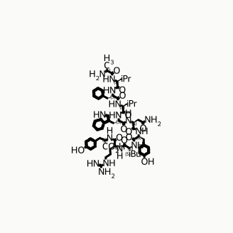 CC[C@H](C)[C@H](NC(=O)[C@H](Cc1ccc(O)cc1)NC(=O)[C@H](CC(N)=O)NC(=O)[C@H](Cc1c[nH]c2ccccc12)NC(=O)[C@@H](NC(=O)[C@H](Cc1ccccc1)NC(=O)[C@@H](NC(=O)[C@H](C)N)C(C)C)C(C)C)C(=O)N[C@@H](CCCNC(=N)N)C(=O)N[C@@H](Cc1ccc(O)cc1)C(=O)O